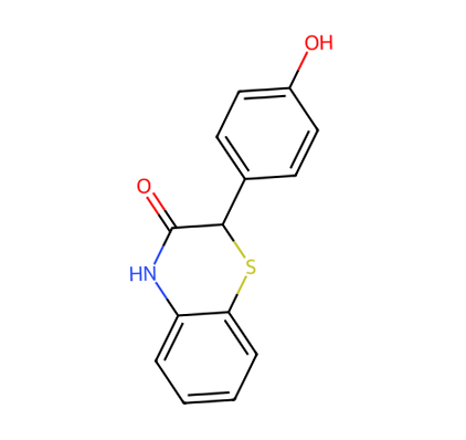 O=C1Nc2ccccc2SC1c1ccc(O)cc1